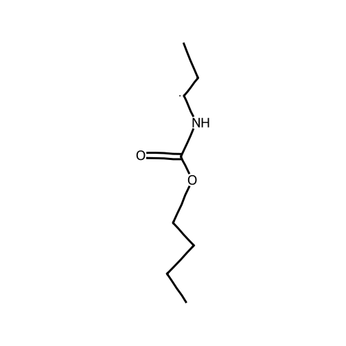 CC[CH]NC(=O)OCCCC